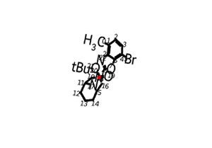 Cc1ccc(Br)c2oc(N3CC4CCCC(C3)N4C(=O)OC(C)(C)C)nc12